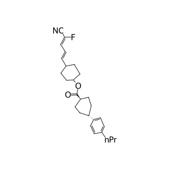 CCCc1ccc([C@H]2CC[C@H](C(=O)OC3CCC(/C=C/C=C(F)C#N)CC3)CC2)cc1